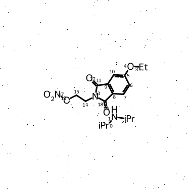 CC(C)NC(C)C.CCOc1ccc2c(c1)C(=O)N(CCO[N+](=O)[O-])C2=O